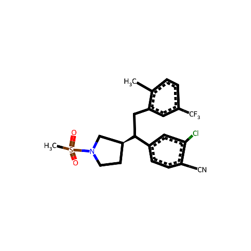 Cc1ccc(C(F)(F)F)cc1CC(c1ccc(C#N)c(Cl)c1)[C@H]1CCN(S(C)(=O)=O)C1